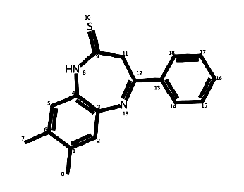 Cc1cc2c(cc1C)NC(=S)CC(c1ccccc1)=N2